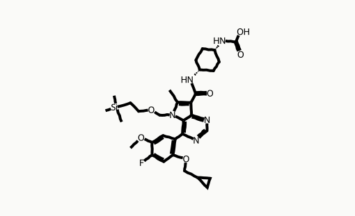 COc1cc(-c2ncnc3c(C(=O)N[C@H]4CC[C@@H](NC(=O)O)CC4)c(C)n(COCC[Si](C)(C)C)c23)c(OCC2CC2)cc1F